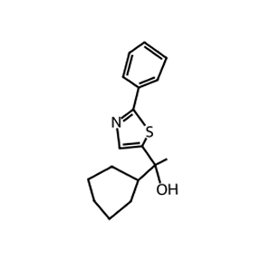 CC(O)(c1cnc(-c2ccccc2)s1)C1CCCCC1